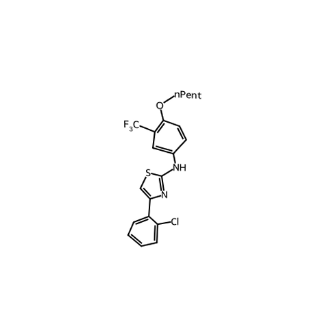 CCCCCOc1ccc(Nc2nc(-c3ccccc3Cl)cs2)cc1C(F)(F)F